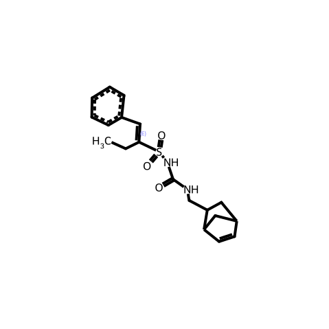 CC/C(=C\c1ccccc1)S(=O)(=O)NC(=O)NCC1CC2C=CC1C2